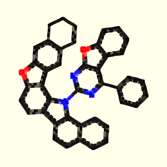 C1=Cc2cc3c(cc2CC1)oc1ccc2c4ccc5ccccc5c4n(-c4nc(-c5ccccc5)c5c(n4)oc4ccccc45)c2c13